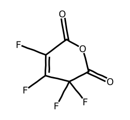 O=C1OC(=O)C(F)(F)C(F)=C1F